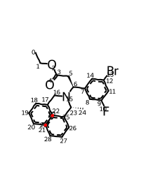 CCOC(=O)C[C@@H](c1cc(F)cc(Br)c1)N(Cc1ccccc1)[C@H](C)c1ccccc1